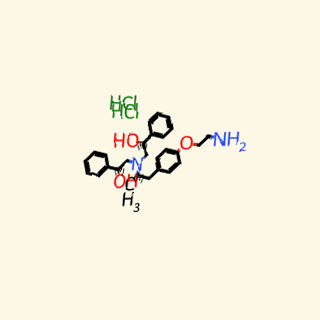 C[C@H](Cc1ccc(OCCN)cc1)N(C[C@H](O)c1ccccc1)C[C@H](O)c1ccccc1.Cl.Cl